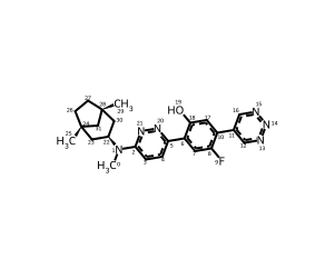 CN(c1ccc(-c2cc(F)c(-c3cnnnc3)cc2O)nn1)[C@H]1C[C@]2(C)CC[C@](C)(C1)C2